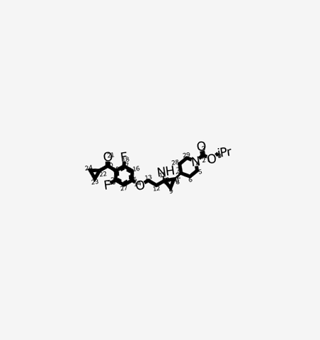 CC(C)OC(=O)N1CCC([C@H]2C[C@@]2(N)CCOc2cc(F)c(C(=O)C3CC3)c(F)c2)CC1